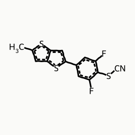 Cc1cc2sc(-c3cc(F)c(SC#N)c(F)c3)cc2s1